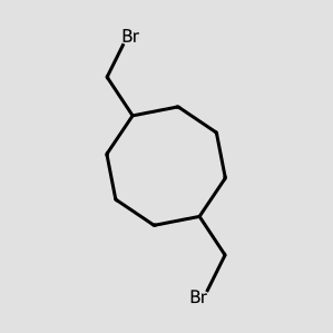 BrCC1CCCC(CBr)CCC1